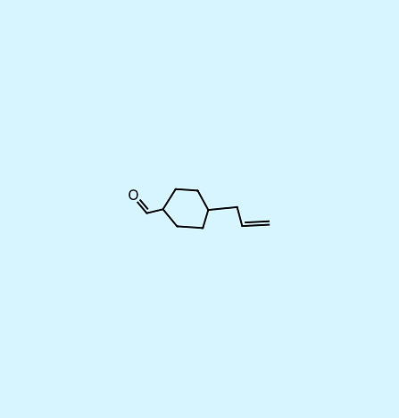 C=CCC1CCC(C=O)CC1